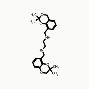 CC1(C)COc2cccc(CNCCNCc3cccc4c3OC(C)(C)OC4)c2O1